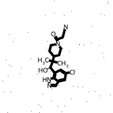 CC(C)(C1CCN(C(=O)CC#N)CC1)[C@@H](O)c1cc(Cl)cc2cn[nH]c12